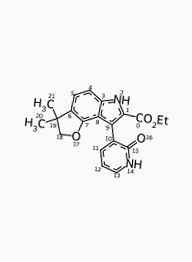 CCOC(=O)c1[nH]c2ccc3c(c2c1-c1ccc[nH]c1=O)OCC3(C)C